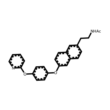 CC(=O)NCCc1ccc2cc(Oc3ccc(Oc4ccccn4)cc3)ccc2c1